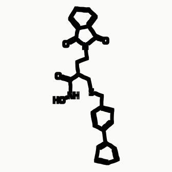 O=C(NO)C(CCN1C(=O)c2ccccc2C1=O)CSCc1ccc(-c2ccccc2)cc1